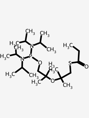 CCC(=O)SCC(C)(C)OC(C)(C)COP(N(C(C)C)C(C)C)N(C(C)C)C(C)C